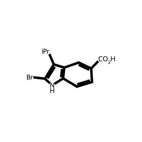 CC(C)c1c(Br)[nH]c2ccc(C(=O)O)cc12